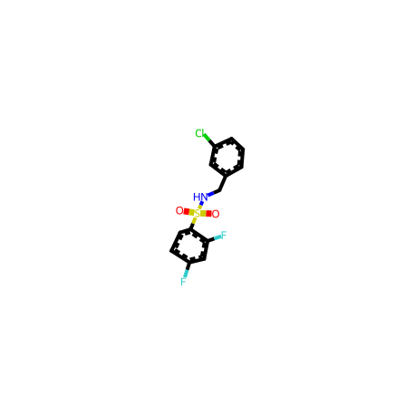 O=S(=O)(NCc1cccc(Cl)c1)c1ccc(F)cc1F